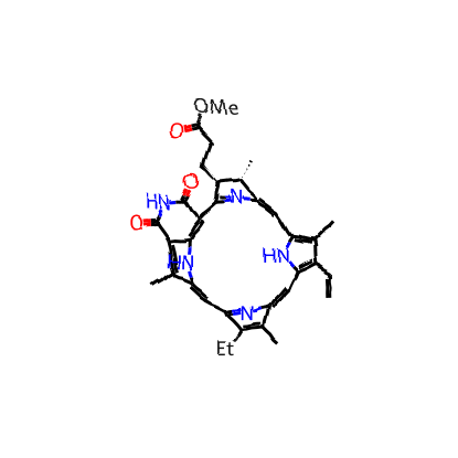 C=Cc1c(C)c2cc3nc(c4c5[nH]c(cc6nc(cc1[nH]2)C(C)=C6CC)c(C)c5C(=O)NC4=O)[C@@H](CCC(=O)OC)[C@@H]3C